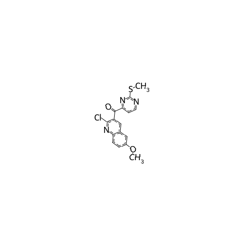 COc1ccc2nc(Cl)c(C(=O)c3ccnc(SC)n3)cc2c1